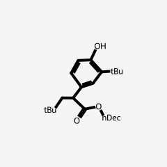 CCCCCCCCCCOC(=O)C(CC(C)(C)C)c1ccc(O)c(C(C)(C)C)c1